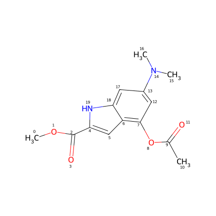 COC(=O)c1cc2c(OC(C)=O)cc(N(C)C)cc2[nH]1